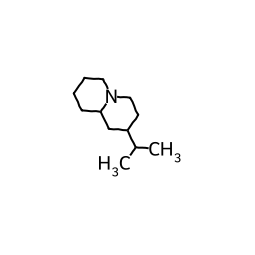 CC(C)C1CCN2CCCCC2C1